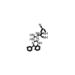 N#CC1=C/C(=C(/C=N)C(=N)OC(=N)N[C@H]2N=C(c3ccccc3)c3ccccc3NC2=O)NC=C1